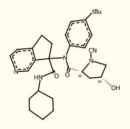 CC(C)(C)c1ccc(N(C(=O)[C@H]2C[C@@H](O)CN2C#N)C2(C(=O)NC3CCCCC3)CCc3ccncc32)cc1